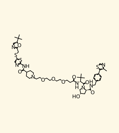 Cc1ncsc1-c1ccc(CNC(=O)[C@H]2C[C@H](O)CN2C(=O)[C@H](NC(=O)CCOCCOCCOCCN2CCC(C(=O)Nc3ncc(SCc4ncc(C(C)(C)C)o4)s3)CC2)C(C)(C)C)cc1